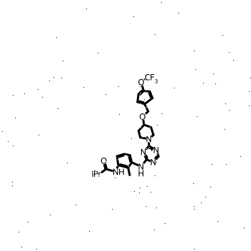 Cc1c(NC(=O)C(C)C)cccc1Nc1ncnc(N2CCC(OCc3ccc(OC(F)(F)F)cc3)CC2)n1